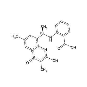 Cc1cc([C@@H](C)Nc2ccccc2C(=O)O)c2nc(O)c(C)c(=O)n2c1